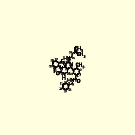 Cc1ccc(C(=O)NCc2ccccc2)cc1-c1nc(NCCN(C)C)nc2c1CNC(=O)N2c1c(F)cccc1F